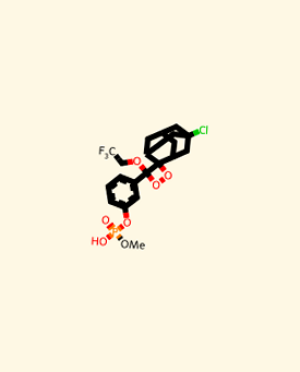 COP(=O)(O)Oc1cccc(C2(OCC(F)(F)F)OOC23C2CC4CC3CC(Cl)(C4)C2)c1